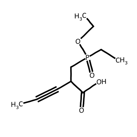 CC#CC(CP(=O)(CC)OCC)C(=O)O